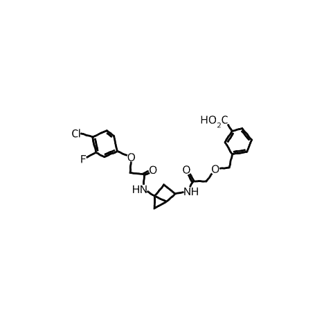 O=C(COCc1cccc(C(=O)O)c1)NC1CC2(NC(=O)COc3ccc(Cl)c(F)c3)CC12